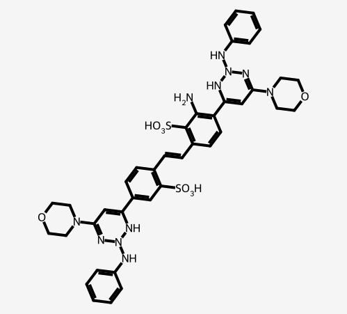 Nc1c(C2=CC(N3CCOCC3)=NN(Nc3ccccc3)N2)ccc(C=Cc2ccc(C3=CC(N4CCOCC4)=NN(Nc4ccccc4)N3)cc2S(=O)(=O)O)c1S(=O)(=O)O